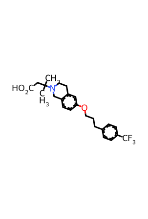 CC(C)(CC(=O)O)N1CCc2cc(OCCCc3ccc(C(F)(F)F)cc3)ccc2C1